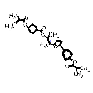 C=C(C)C(=O)Oc1ccc(C(=O)O/C(C)=C(\C)c2ccc(-c3ccc(OC(=O)C(=C)C)cc3)o2)cc1